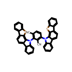 N#Cc1ccc(-n2c3ccccc3c3ccc4c5ccccc5sc4c32)c(C#N)c1-n1c2ccccc2c2ccc3c4ccccc4sc3c21